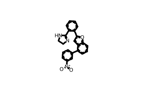 O=[N+]([O-])c1cccc(-c2cccc3oc(-c4ccccc4C4=NCCN4)cc23)c1